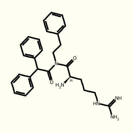 N=C(N)NCCC[C@@H](N)C(=O)N(CCc1ccccc1)C(=O)C(c1ccccc1)c1ccccc1